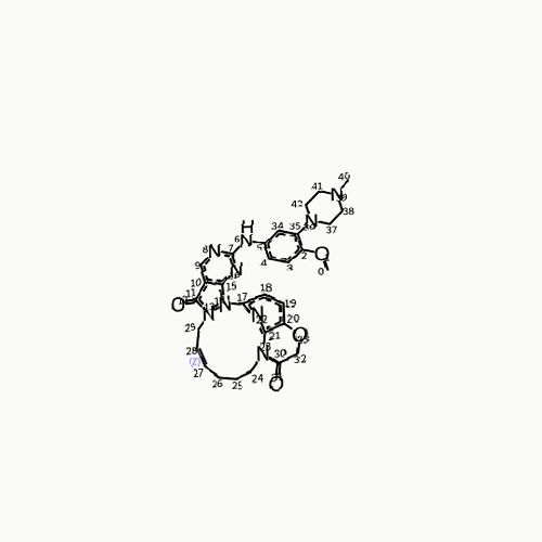 COc1ccc(Nc2ncc3c(=O)n4n(c3n2)-c2ccc3c(n2)N(CCC/C=C\C4)C(=O)CO3)cc1N1CCN(C)CC1